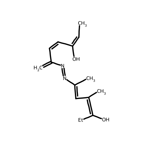 C=C(/C=C\C(O)=C/C)/N=N/C(C)=C/C(C)=C(/O)CC